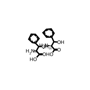 N[C@H](C(=O)O)C(O)c1ccccc1.N[C@H](C(=O)O)C(O)c1ccccc1